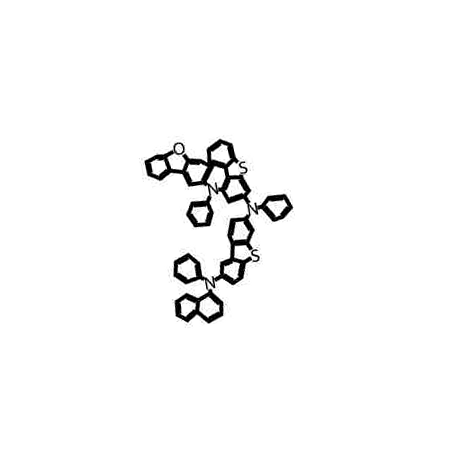 c1ccc(N(c2ccc3c(c2)sc2ccc(N(c4ccccc4)c4cccc5ccccc45)cc23)c2cc(N(c3ccccc3)c3ccc4oc5ccccc5c4c3)c3c(c2)sc2ccccc23)cc1